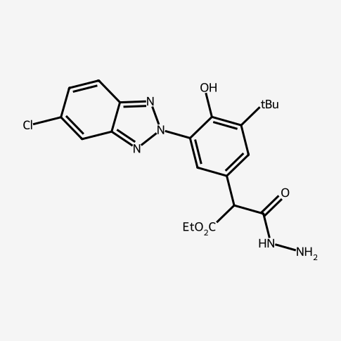 CCOC(=O)C(C(=O)NN)c1cc(-n2nc3ccc(Cl)cc3n2)c(O)c(C(C)(C)C)c1